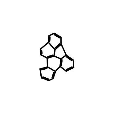 c1cc2c3c(c1)ccc1c4ccccc4c4cccc-2c4c13